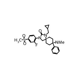 CN[C@]1(c2ccccc2)CC[C@@]2(CC1)CN(c1ccc(S(C)(=O)=O)cc1F)C(=O)N2CC1CC1